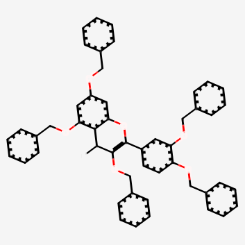 [2H]C1C(OCc2ccccc2)=C(c2ccc(OCc3ccccc3)c(OCc3ccccc3)c2)Oc2cc(OCc3ccccc3)cc(OCc3ccccc3)c21